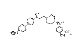 CC(C)(C)c1ccc(N2CCN(C(=O)CCC3CCC(Nc4ccc(C#N)c(C(F)(F)F)c4)CC3)CC2)cc1